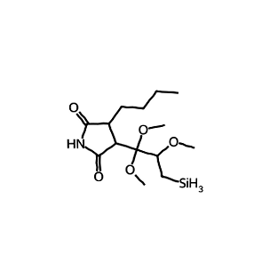 CCCCC1C(=O)NC(=O)C1C(OC)(OC)C(C[SiH3])OC